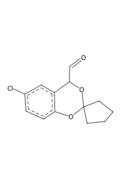 O=CC1OC2(CCCC2)Oc2ccc(Cl)cc21